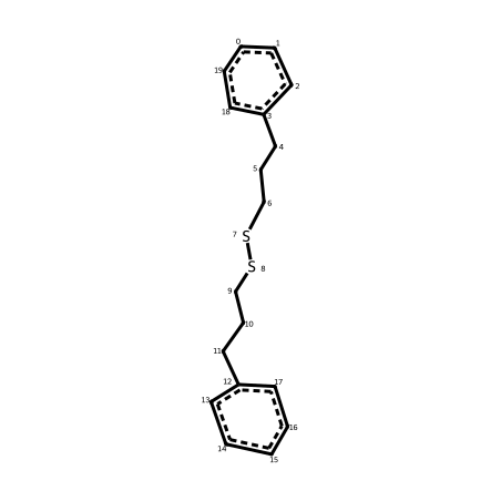 c1ccc(CCCSSCCCc2ccccc2)cc1